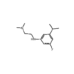 CC(C)c1cc(F)cc(NCCN(C)C)c1